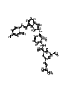 COC(=O)NC(CCC=CC(N)=O)C(=O)Nc1cccn(Cc2nc3cccc(OCc4ccc(F)cc4F)c3s2)c1=O